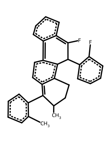 Cc1ccccc1C1=c2ccc3c(c2CCC1C)C(c1ccccc1F)C(F)=c1ccccc1=3